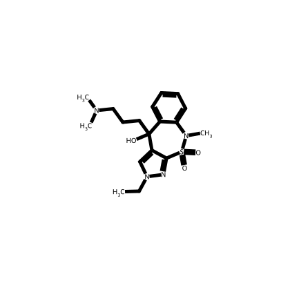 CCn1cc2c(n1)S(=O)(=O)N(C)c1ccccc1C2(O)CCCN(C)C